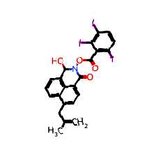 C=C(C)Cc1ccc2c3c(cccc13)C(O)N(OC(=O)c1c(I)ccc(I)c1I)C2=O